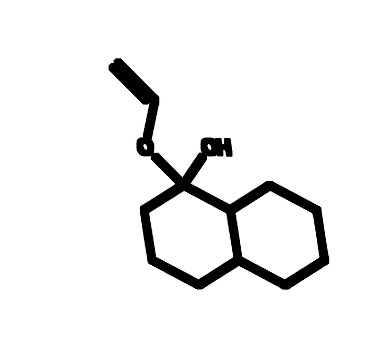 C=COC1(O)CCCC2CCCCC21